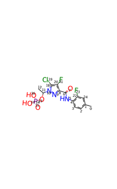 Cc1ccc(NC(=O)c2nn(C(C)OP(=O)(O)O)c(Cl)c2F)c(F)c1